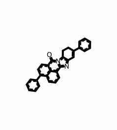 O=c1c2ccc(-c3ccccc3)c3cccc(c32)c2nc3c(n12)CCC(c1ccccc1)=C3